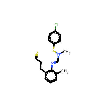 Cc1cccc(CCC=S)c1N=CN(C)Sc1ccc(Cl)cc1